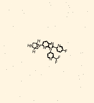 Fc1ccc(-c2nc3ccc(N4C[C@H]5C[C@@H]4CN5)nc3n2-c2ccnc(C(F)F)c2)nc1